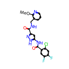 COc1ncccc1CNC(=O)c1cc(NC(=O)c2cc(F)c(F)cc2Cl)[nH]n1